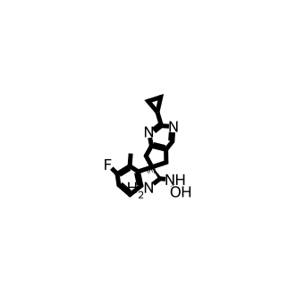 Cc1c(F)cccc1[C@@]1(C(N)NO)Cc2cnc(C3CC3)nc2C1